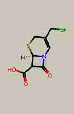 O=C(O)C1C(=O)N2C=C(CBr)CS[C@H]12